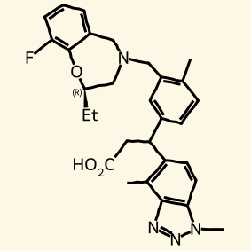 CC[C@@H]1CN(Cc2cc(C(CC(=O)O)c3ccc4c(nnn4C)c3C)ccc2C)Cc2cccc(F)c2O1